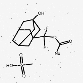 CS(=O)(=O)O.O=[C]([Na])OC(F)(F)C12CC3CC(CC(O)(C3)C1)C2